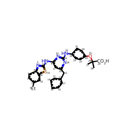 CCc1ccc2nc(Nc3cc(Cc4ccccc4)nc(Nc4ccc(OC(C)(C)C(=O)O)cc4)n3)sc2c1